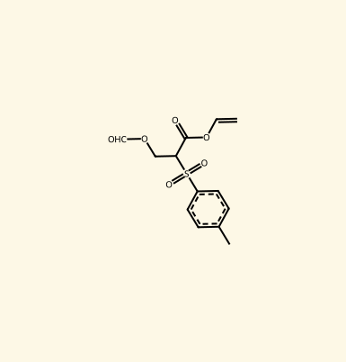 C=COC(=O)C(COC=O)S(=O)(=O)c1ccc(C)cc1